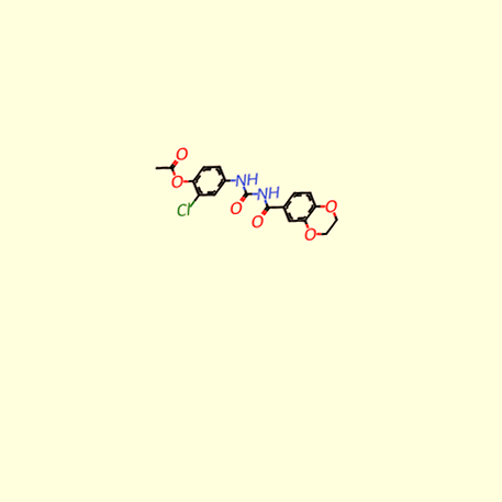 CC(=O)Oc1ccc(NC(=O)NC(=O)c2ccc3c(c2)OCCO3)cc1Cl